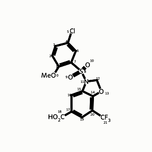 COc1ccc(Cl)cc1S(=O)(=O)N1COc2c1cc(C(=O)O)cc2C(F)(F)F